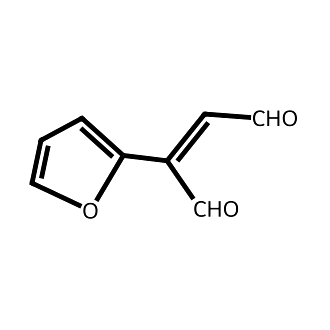 O=CC=C(C=O)c1ccco1